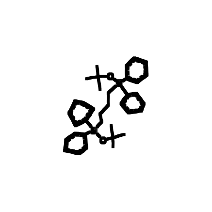 CC(C)(C)O[Si](CCCC[Si](OC(C)(C)C)(c1ccccc1)c1ccccc1)(c1ccccc1)c1ccccc1